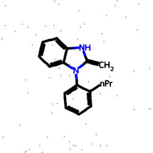 C=C1Nc2ccccc2N1c1ccccc1CCC